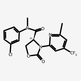 Cc1cc(C(F)(F)F)cc(N2C(=O)OC[C@H]2C(=O)N(C)c2cccc(Cl)c2)n1